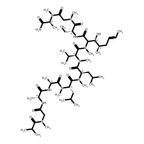 C/C=C/C[C@@H](C)[C@H](O)C(C(=O)N[C@H](CC)C(=O)N(C)CC(=O)N(C)[C@@H](C)C(N)=O)N(C)C(=O)[C@H](C(C)C)N(C)C(=O)[C@@H](CC(C)C)N(C)C(=O)[C@H](CC(C)C)N(C)C(=O)[C@H](C)NC(=O)[C@@H](C)NC(=O)CN(C)C(=O)C(C)C